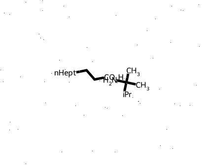 CC(C)C(C)(C)N.CCCCCCCCCC(=O)O